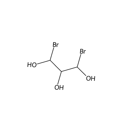 OC(Br)C(O)C(O)Br